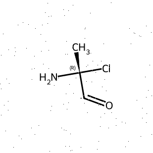 C[C@@](N)(Cl)[C]=O